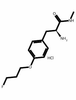 CNC(=O)[C@@H](N)Cc1ccc(OCCCF)cc1.Cl